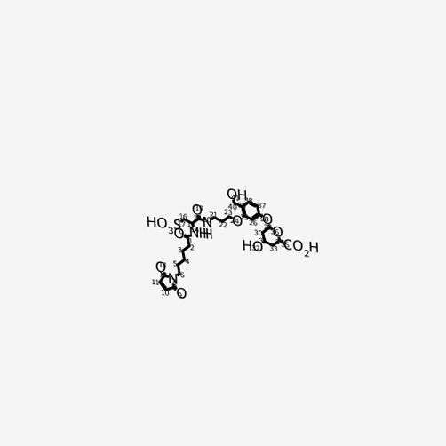 O=C(CCCCCN1C(=O)C=CC1=O)NC(CS(=O)(=O)O)C(=O)NCCCOc1cc(OC2CC(O)CC(C(=O)O)O2)ccc1CO